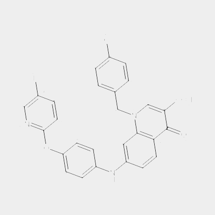 O=C(O)c1cn(Cc2ccc(Cl)cc2)c2cc(Nc3ccc(Oc4ccc(F)cn4)cc3)ccc2c1=O